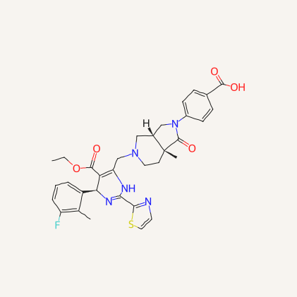 CCOC(=O)C1=C(CN2CC[C@@]3(C)C(=O)N(c4ccc(C(=O)O)cc4)C[C@H]3C2)NC(c2nccs2)=N[C@H]1c1cccc(F)c1C